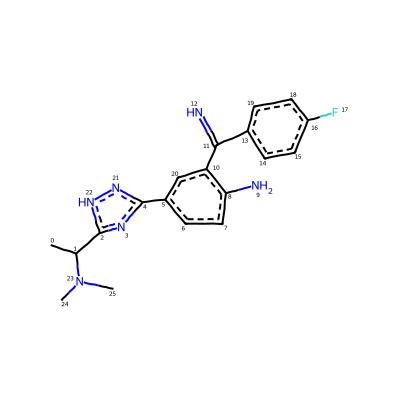 CC(c1nc(-c2ccc(N)c(C(=N)c3ccc(F)cc3)c2)n[nH]1)N(C)C